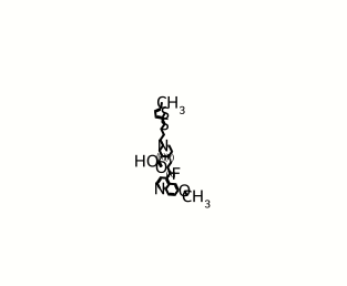 COc1ccc2nccc([C@H](F)CC[C@@H]3CCN(CCCSc4ccc(C)s4)C[C@@H]3C(=O)O)c2c1